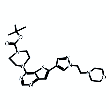 CC(C)(C)OC(=O)N1CCN(c2ncnc3cc(-c4cnn(CCN5CCOCC5)c4)sc23)CC1